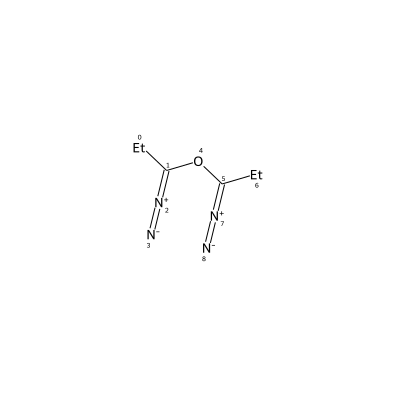 CCC(=[N+]=[N-])OC(CC)=[N+]=[N-]